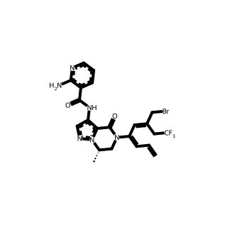 C=C/C=C(\C=C(\CBr)CC(F)(F)F)N1C[C@H](C)n2ncc(NC(=O)c3cccnc3N)c2C1=O